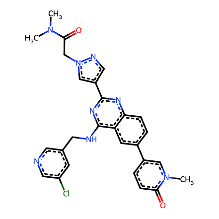 CN(C)C(=O)Cn1cc(-c2nc(NCc3cncc(Cl)c3)c3cc(-c4ccc(=O)n(C)c4)ccc3n2)cn1